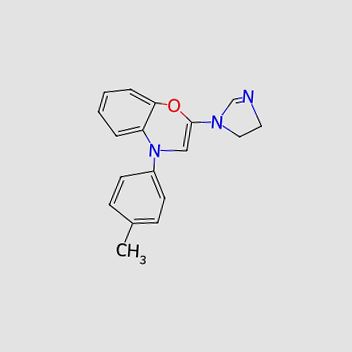 Cc1ccc(N2C=C(N3C=NCC3)Oc3ccccc32)cc1